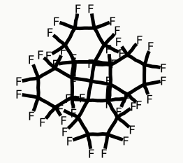 FC1(F)C(F)(F)C(F)(F)C(F)(C(C2(F)C(F)(F)C(F)(F)C(F)(F)C(F)(F)C2(F)F)(C2(F)C(F)(F)C(F)(F)C(F)(F)C(F)(F)C2(F)F)C2(F)C(F)(F)C(F)(F)C(F)(F)C(F)(F)C2(F)F)C(F)(F)C1(F)F